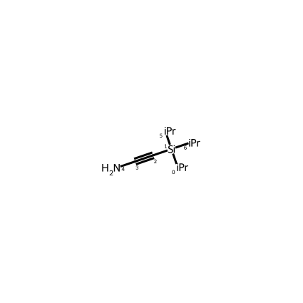 CC(C)[Si](C#CN)(C(C)C)C(C)C